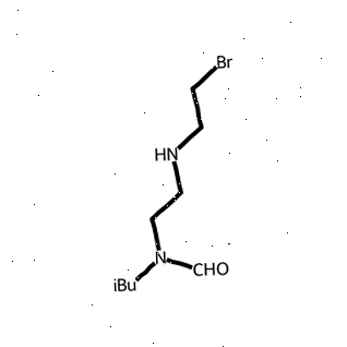 CCC(C)N(C=O)CCNCCBr